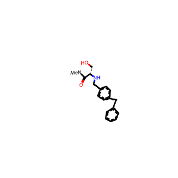 CNC(=O)[C@H](CO)NCc1ccc(Cc2ccccc2)cc1